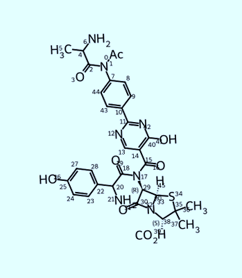 CC(=O)N(C(=O)C(C)N)c1ccc(-c2ncc(C(=O)N(C(=O)C(N)c3ccc(O)cc3)[C@@H]3C(=O)N4[C@@H]3SC(C)(C)[C@@H]4C(=O)O)c(O)n2)cc1